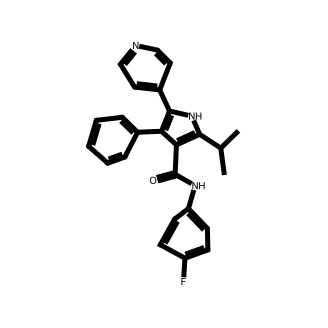 CC(C)c1[nH]c(-c2ccncc2)c(-c2ccccc2)c1C(=O)Nc1ccc(F)cc1